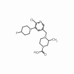 CC1CN(C(=O)O)CCN1Cc1cnc(Cl)c(N2CCC(F)CC2)c1